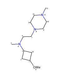 COC1CC(N(C)CCN2CCN(C)CC2)C1